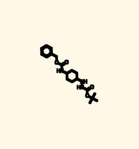 CC(C)(C)OC(=O)NNC1CCC(NC(=O)OCc2ccccc2)CC1